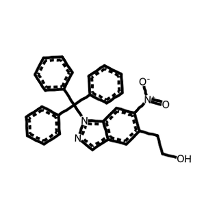 O=[N+]([O-])c1cc2c(cnn2C(c2ccccc2)(c2ccccc2)c2ccccc2)cc1CCO